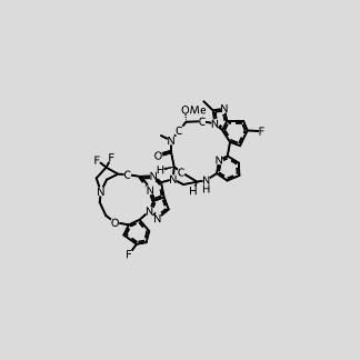 CO[C@H]1CN(C)C(=O)[C@@H]2C[C@@H](CN2c2nc3nc4c2cnn4-c2ccc(F)cc2OCCN2CC(C3)C(F)(F)C2)Nc2cccc(n2)-c2cc(F)cc3nc(C)n(c23)C1